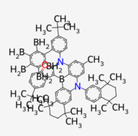 Bc1c(B)c(B)c(-c2cc(C(C)(C)C)ccc2N2c3cc(C)cc4c3B(c3cc5c(cc3N4c3ccc4c(c3)C(C)(C)CCC4(C)C)C(C)(C)CCC5(C)C)c3c2oc2ccc(C(C)(C)C)cc32)c(B)c1B